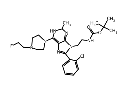 CC1N=c2c(nc(-c3ccccc3Cl)n2CCNC(=O)OC(C)(C)C)=C(N2CCN(CCF)CC2)N1